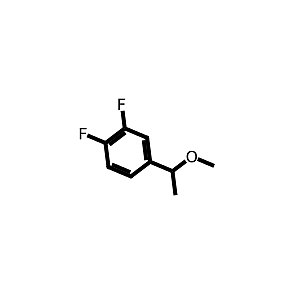 COC(C)c1ccc(F)c(F)c1